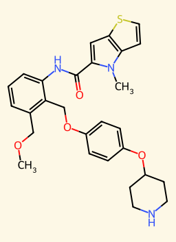 COCc1cccc(NC(=O)c2cc3sccc3n2C)c1COc1ccc(OC2CCNCC2)cc1